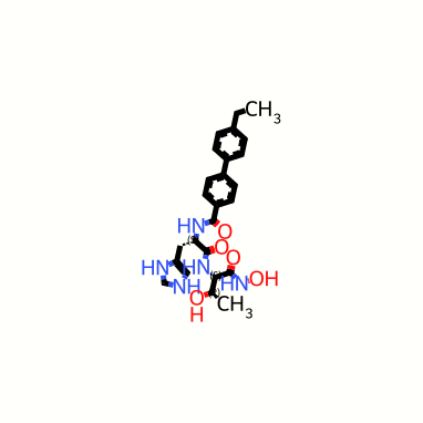 CCc1ccc(-c2ccc(C(=O)N[C@@H](CC3=CNCN3)C(=O)N[C@H](C(=O)NO)[C@@H](C)O)cc2)cc1